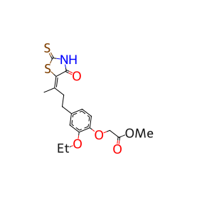 CCOc1cc(CC/C(C)=C2/SC(=S)NC2=O)ccc1OCC(=O)OC